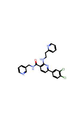 O=C(NCc1cccnc1)c1ccc(-c2ccc(Cl)c(Cl)c2)nc1NCCc1ccccn1